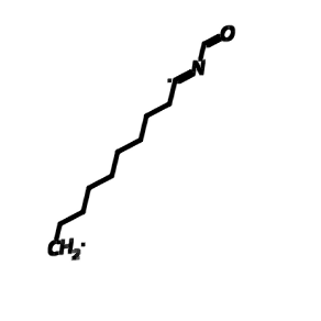 [CH2]CCCCCCCC/[C]=N/C=O